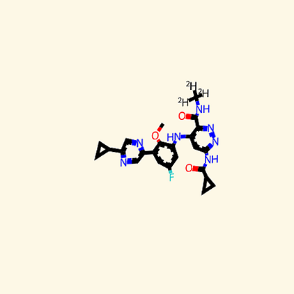 [2H]C([2H])([2H])NC(=O)c1nnc(NC(=O)C2CC2)cc1Nc1cc(F)cc(-c2cnc(C3CC3)cn2)c1OC